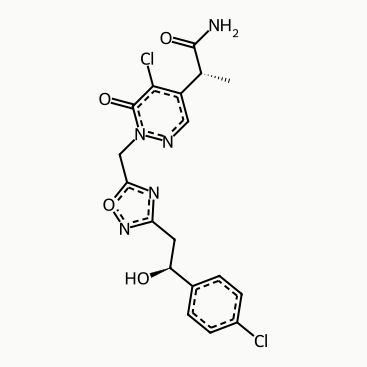 C[C@@H](C(N)=O)c1cnn(Cc2nc(C[C@H](O)c3ccc(Cl)cc3)no2)c(=O)c1Cl